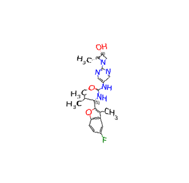 Cc1c([C@@H](NC(=O)Nc2cnc(N3C[C@@H](O)[C@H]3C)nc2)C(C)C)oc2ccc(F)cc12